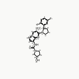 C[C@]1(c2cc(F)ccc2F)CCCN1c1ccn2ncc(NC(=O)N3CC[C@@H](O)C3)c2n1